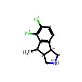 CC1c2c(ccc(Cl)c2Cl)C2CNCC12